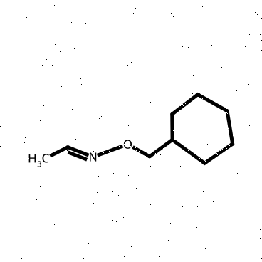 CC=NOCC1CCCCC1